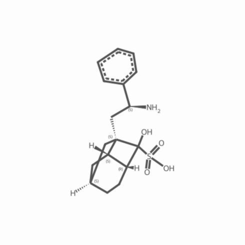 N[C@@H](C[C@@]12C[C@H]3CC[C@H]([C@@H]1C3)C2(O)S(=O)(=O)O)c1ccccc1